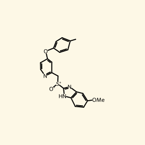 COc1ccc2[nH]c([S+]([O-])Cc3cc(Oc4ccc(C)cc4)ccn3)nc2c1